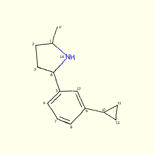 CC1CCC(c2cccc(C3CC3)c2)N1